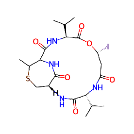 CC1SC[C@H]2NC(=O)[C@@H](C(C)C)NC(=O)C[C@@H](I)OC(=O)[C@H](C(C)C)NC(=O)C1NC2=O